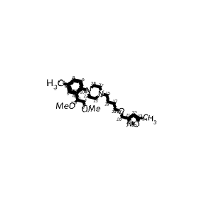 COCC(OC)c1cc(C)ccc1N1CCN(CCCCOCc2cc(C)on2)CC1